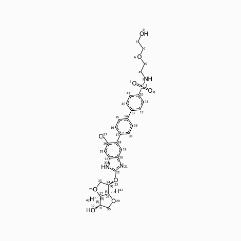 O=S(=O)(NCCOCCO)c1ccc(-c2ccc(-c3cc4nc(O[C@@H]5CO[C@H]6[C@@H]5OC[C@H]6O)[nH]c4cc3Cl)cc2)cc1